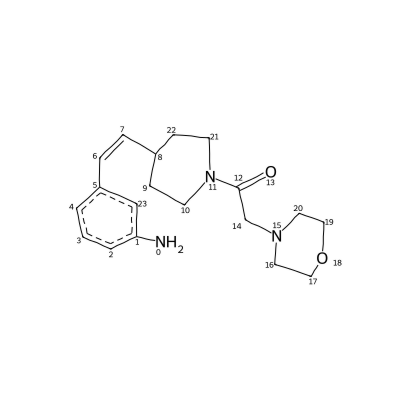 Nc1cccc(/C=C\C2CCN(C(=O)CN3CCOCC3)CC2)c1